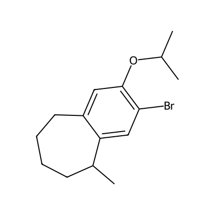 CC(C)Oc1cc2c(cc1Br)C(C)CCCC2